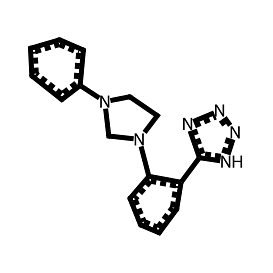 c1ccc(N2CCN(c3ccccc3-c3nnn[nH]3)C2)cc1